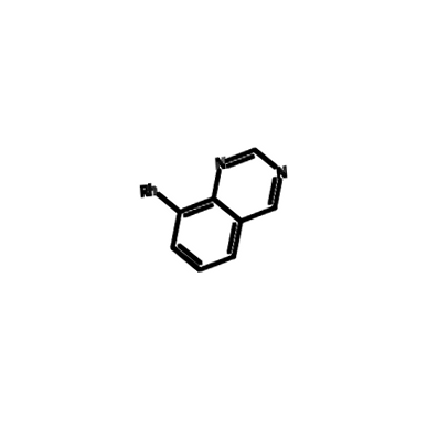 [Rh][c]1cccc2cncnc12